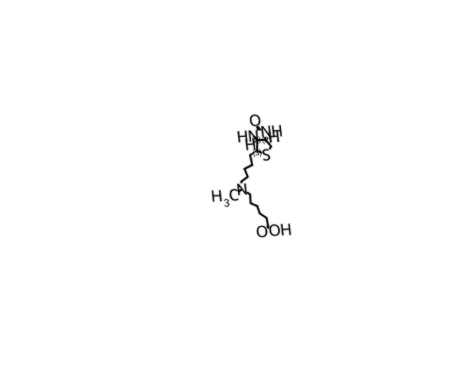 CN(CCCCCC(=O)O)CCCCC[C@@H]1SC[C@@H]2NC(=O)N[C@@H]21